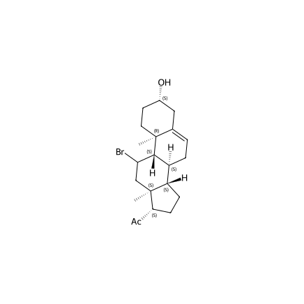 CC(=O)[C@H]1CC[C@H]2[C@@H]3CC=C4C[C@@H](O)CC[C@]4(C)[C@H]3C(Br)C[C@]12C